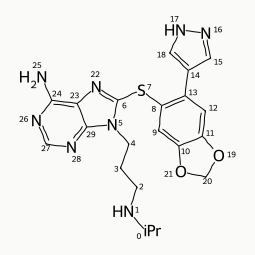 CC(C)NCCCn1c(Sc2cc3c(cc2-c2cn[nH]c2)OCO3)nc2c(N)ncnc21